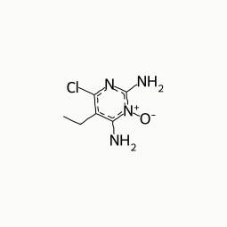 CCc1c(Cl)nc(N)[n+]([O-])c1N